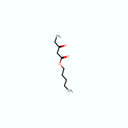 CCCCCOC(=O)CC(=O)CC